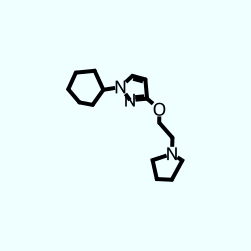 c1cn(C2CCCCC2)nc1OCCN1CCCC1